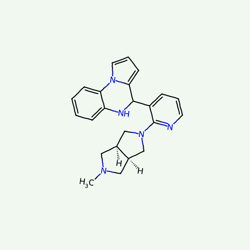 CN1C[C@@H]2CN(c3ncccc3C3Nc4ccccc4-n4cccc43)C[C@@H]2C1